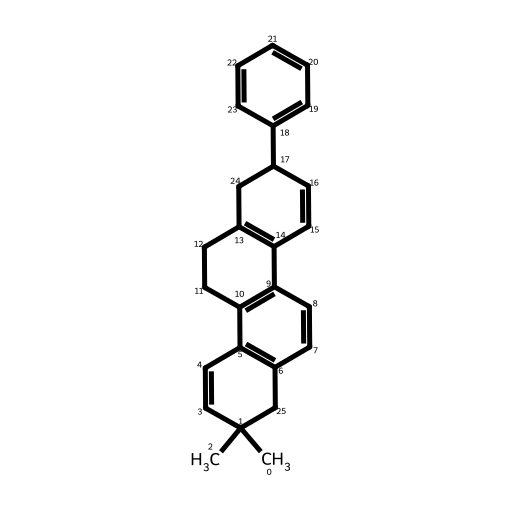 CC1(C)C=Cc2c(ccc3c2CCC2=C3C=CC(c3ccccc3)C2)C1